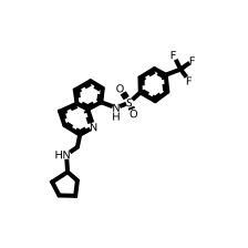 O=S(=O)(Nc1cccc2ccc(CNC3CCCC3)nc12)c1ccc(C(F)(F)F)cc1